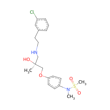 CN(c1ccc(OC[C@@](C)(O)CNCCc2cccc(Cl)c2)cc1)S(C)(=O)=O